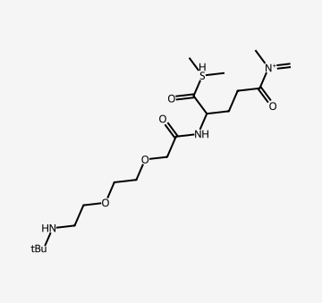 C=[N+](C)C(=O)CCC(NC(=O)COCCOCCNC(C)(C)C)C(=O)[SH](C)C